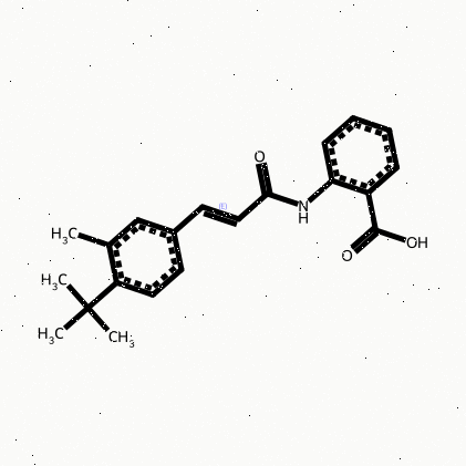 Cc1cc(/C=C/C(=O)Nc2ccccc2C(=O)O)ccc1C(C)(C)C